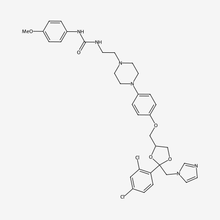 COc1ccc(NC(=O)NCCN2CCN(c3ccc(OCC4COC(Cn5ccnc5)(c5ccc(Cl)cc5Cl)O4)cc3)CC2)cc1